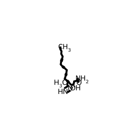 CCCCCC#CCC#CCC#CCC#CC(CCC(N)=O)[N+]1(O)CCNCC1CC